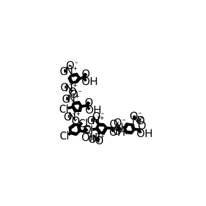 O=C(O)c1cc(Cl)ccc1Cl.O=C(O)c1cc([N+](=O)[O-])c(Cl)c([N+](=O)[O-])c1.O=C(O)c1cc([N+](=O)[O-])c(Cl)c([N+](=O)[O-])c1.O=C(O)c1cc([N+](=O)[O-])cc([N+](=O)[O-])c1.O=C(O)c1ccc([N+](=O)[O-])cc1[N+](=O)[O-]